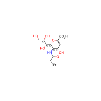 CC(C)CC(=O)N[C@H]1[C@H]([C@H](O)[C@H](O)CO)OC(C(=O)O)=C[C@@H]1O